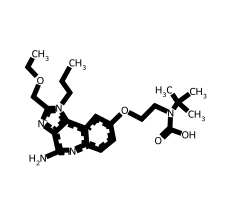 CCCn1c(COCC)nc2c(N)nc3ccc(OCCN(C(=O)O)C(C)(C)C)cc3c21